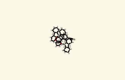 N#Cc1ccc(-n2c3ccccc3c3cccc(C#N)c32)c(-c2ccccc2-n2c3ccccc3c3cccc(-n4c5ccccc5c5ccccc54)c32)c1